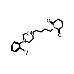 COc1ccccc1N1CCN(CCCCN2C(=O)CCCC2=O)CC1